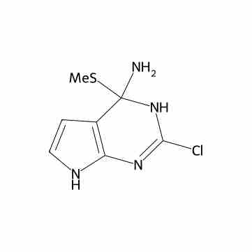 CSC1(N)NC(Cl)=Nc2[nH]ccc21